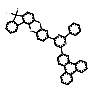 CC1(C)c2ccccc2-c2c1ccc1c2Oc2ccc(-c3cc(-c4ccc5c6ccccc6c6ccccc6c5c4)nc(-c4ccccc4)n3)cc2O1